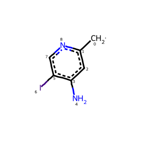 [CH2]c1cc(N)c(I)cn1